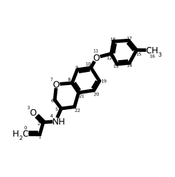 C=CC(=O)NC1COc2cc(Oc3ccc(C)cc3)ccc2C1